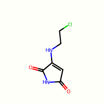 O=C1C=C(NCCCl)C(=O)N1